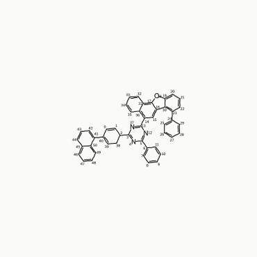 C1=CC(c2nc(-c3ccccc3)nc(-c3cc4c(oc5cccc(-c6ccccc6)c54)c4ccccc34)n2)CC=C1c1cccc2ccccc12